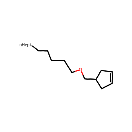 CCCCCCCCCCCCOCC1CC=CC1